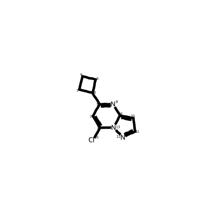 Clc1cc(C2CCC2)nc2ccnn12